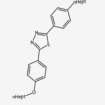 CCCCCCCOc1ccc(-c2nnc(-c3ccc(CCCCCCC)cc3)s2)cc1